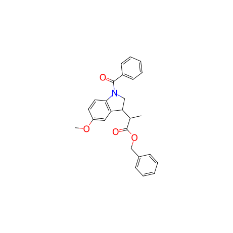 COc1ccc2c(c1)C(C(C)C(=O)OCc1ccccc1)CN2C(=O)c1ccccc1